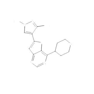 Cc1nn(C)cc1-c1cc2ncnc(C3CCNCC3)c2s1